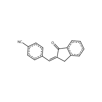 N#Cc1ccc(C=C2Cc3ccccc3C2=O)cc1